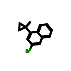 CC1(c2cc(Br)cc3ccccc23)CC1